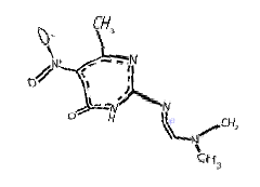 Cc1nc(/N=C/N(C)C)[nH]c(=O)c1[N+](=O)[O-]